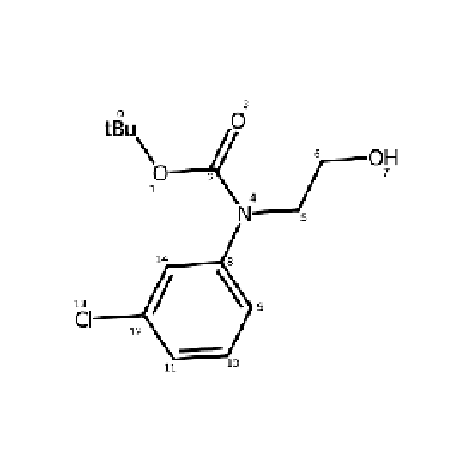 CC(C)(C)OC(=O)N(CCO)c1cccc(Cl)c1